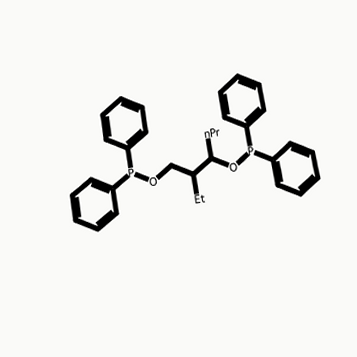 CCCC(OP(c1ccccc1)c1ccccc1)C(CC)COP(c1ccccc1)c1ccccc1